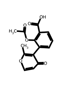 CC(=O)Oc1c(C(=O)O)cccc1-c1c(C)occc1=O